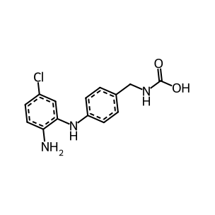 Nc1ccc(Cl)cc1Nc1ccc(CNC(=O)O)cc1